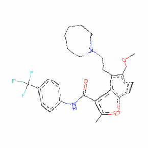 COc1ccc2oc(C)c(C(=O)Nc3ccc(C(F)(F)F)cc3)c2c1CCN1CCCCCC1